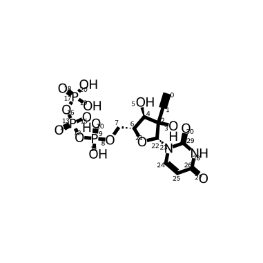 C#CC1(O)[C@H](O)[C@@H](COP(=O)(O)OP(=O)(O)OP(=O)(O)O)O[C@H]1n1ccc(=O)[nH]c1=O